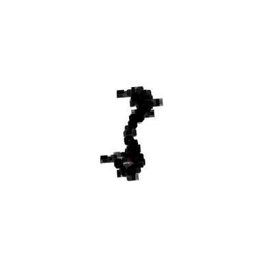 COc1ccc(C(=O)OC2C(OC3C(O)COC(O[C@H]4C[C@H]5[C@@H]6CC=C7C[C@H](OC(=O)O[C@H]8CC[C@@]9(C)C(=CC[C@@H]%10C9CC[C@@]9(C)[C@H]%10C[C@H](OC%10OCC(O)C(OC%11OCC(O)C(O)C%11OC(=O)c%11ccc(OC)cc%11)C%10OC(C)=O)[C@]9(O)[C@H](C)C(=O)CCC(C)C)C8)CC[C@]7(C)C6CC[C@]5(C)[C@@]4(O)[C@H](C)C(=O)CCC(C)C)C3OC(C)=O)OCC(O)C2O)cc1